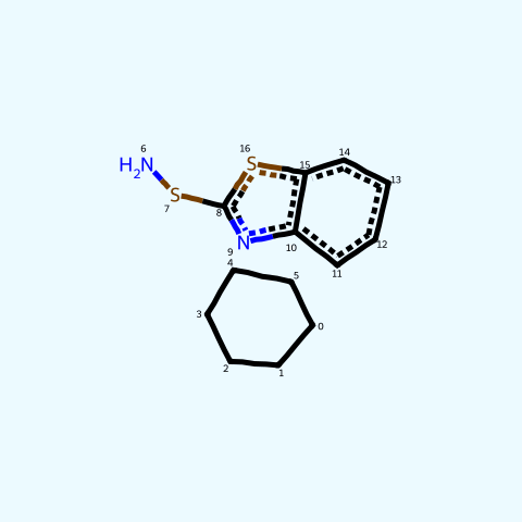 C1CCCCC1.NSc1nc2ccccc2s1